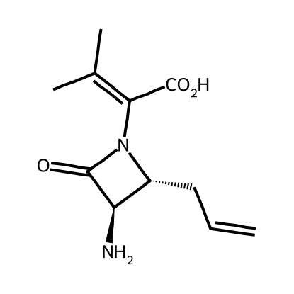 C=CC[C@@H]1[C@@H](N)C(=O)N1C(C(=O)O)=C(C)C